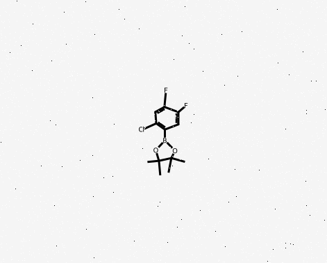 CC1(C)OB(c2cc(F)c(F)cc2Cl)OC1(C)C